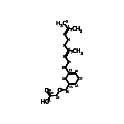 CC(C)=CCC/C(C)=C/CCC1=CCCC(COCC(=O)O)C1